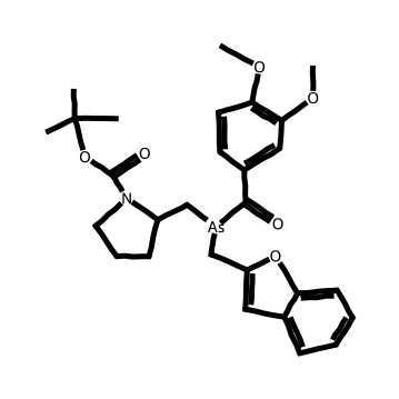 COc1ccc(C(=O)[As](Cc2cc3ccccc3o2)CC2CCCN2C(=O)OC(C)(C)C)cc1OC